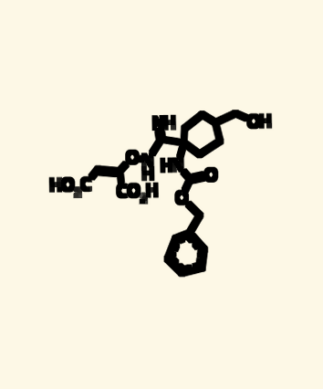 N=C(NO/C(=C/C(=O)O)C(=O)O)C1(NC(=O)OCc2ccccc2)CCC(CO)CC1